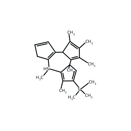 CC1=C(C)C(C2=C([SiH](C)C3=C(C)C([Si](C)(C)C)=CC3)CC=C2)C(C)=C1C